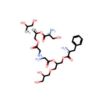 CC(COC(=O)CN)OC(=O)[C@@H](N)CO.CC(O)CO.NCC(=O)OC(COCC(O)CO)COC(=O)[C@@H](N)Cc1ccccc1